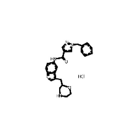 Cl.O=C(Nc1ccc2scc(CC3CNCCO3)c2c1)c1cnn(Cc2ccccc2)c1